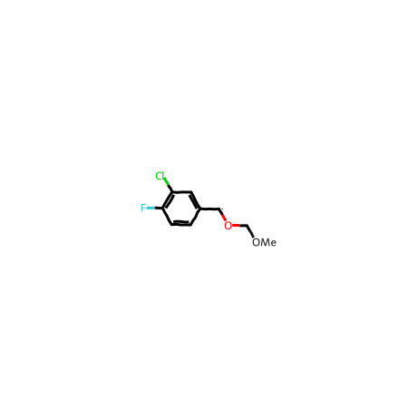 COCO[CH]c1ccc(F)c(Cl)c1